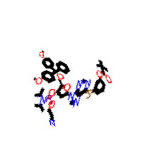 COc1ccc(C(OC[C@H]2O[C@@H](n3cnc4c(Sc5cccc(OC(=O)C(C)(C)C)c5)ncnc43)C[C@@H]2OP(OCCC#N)N(C(C)C)C(C)C)(c2ccccc2)c2ccc(OC)cc2)cc1